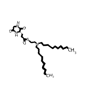 CCCCCCCCCCN(CCCCCCCCCC)CCSC(=O)CC[C@@H]1NC(=O)CNC1=O